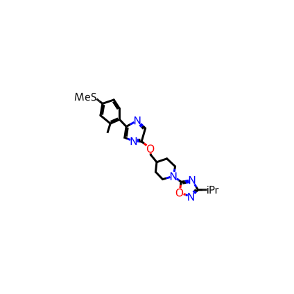 CSc1ccc(-c2cnc(OCC3CCN(c4nc(C(C)C)no4)CC3)cn2)c(C)c1